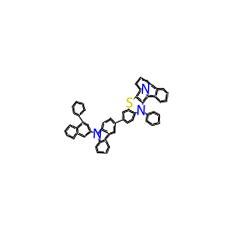 c1ccc(-c2cc(-n3c4ccccc4c4cc(-c5ccc6c(c5)Sc5c(c7c8ccccc8c8cccc5n87)N6c5ccccc5)ccc43)cc3ccccc23)cc1